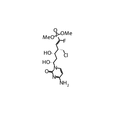 COP(=O)(OC)/C(F)=C/[C@H](CCl)[C@@H](O)C[C@@H](O)n1ccc(N)nc1=O